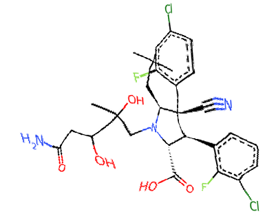 CC(C)(C)C[C@@H]1N(CC(C)(O)C(O)CC(N)=O)[C@@H](C(=O)O)[C@H](c2cccc(Cl)c2F)[C@@]1(C#N)c1ccc(Cl)cc1F